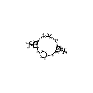 CC1(C)CNCc2cc(C(C)(C)C)cc(c2O)CN2CCN(CC2)Cc2cc(C(C)(C)C)cc(c2O)CNC1